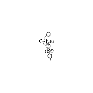 CCCCN1CCN(S(=O)(=O)c2ccc(C)cc2)CC1CC(=O)OCc1ccccc1